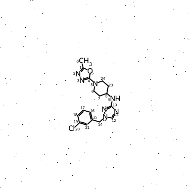 Cc1nnc(N2CCC(Nc3ncn(Cc4cccc(Cl)c4)n3)CC2)o1